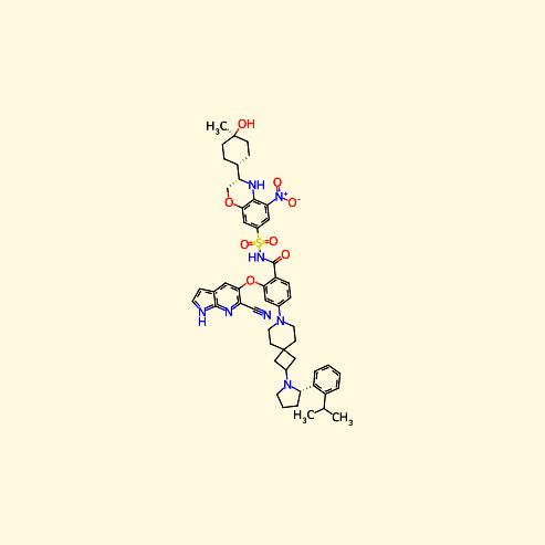 CC(C)c1ccccc1[C@@H]1CCCN1C1CC2(CCN(c3ccc(C(=O)NS(=O)(=O)c4cc5c(c([N+](=O)[O-])c4)N[C@@H]([C@H]4CC[C@](C)(O)CC4)CO5)c(Oc4cc5cc[nH]c5nc4C#N)c3)CC2)C1